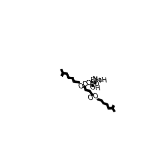 CC(C)CCCCCOC(=O)CCC(=O)OCCCCCC(C)C.O=S(=O)(O)O.[NaH]